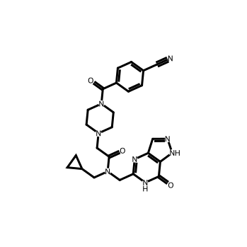 N#Cc1ccc(C(=O)N2CCN(CC(=O)N(Cc3nc4cn[nH]c4c(=O)[nH]3)CC3CC3)CC2)cc1